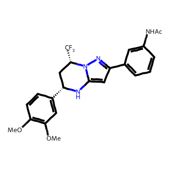 COc1ccc([C@@H]2C[C@H](C(F)(F)F)n3nc(-c4cccc(NC(C)=O)c4)cc3N2)cc1OC